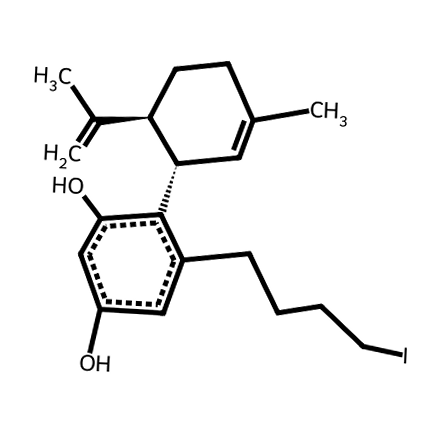 C=C(C)[C@H]1CCC(C)=C[C@@H]1c1c(O)cc(O)cc1CCCCI